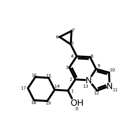 OC(c1cc(C2CC2)cc2cncn12)C1CCCCC1